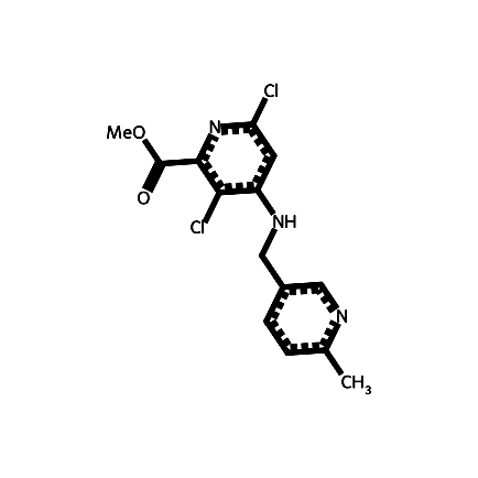 COC(=O)c1nc(Cl)cc(NCc2ccc(C)nc2)c1Cl